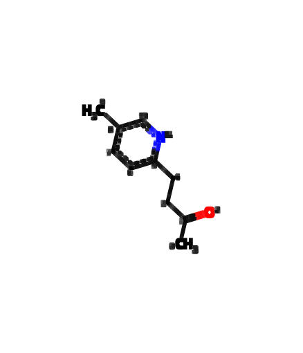 CC(=O)CCc1ccc(C)cn1